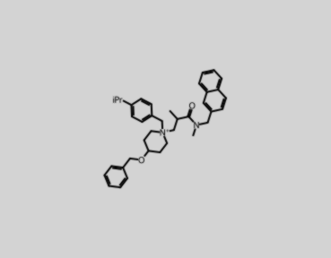 CC(C[N+]1(Cc2ccc(C(C)C)cc2)CCC(OCc2ccccc2)CC1)C(=O)N(C)Cc1ccc2ccccc2c1